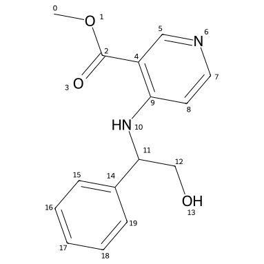 COC(=O)c1cnccc1NC(CO)c1ccccc1